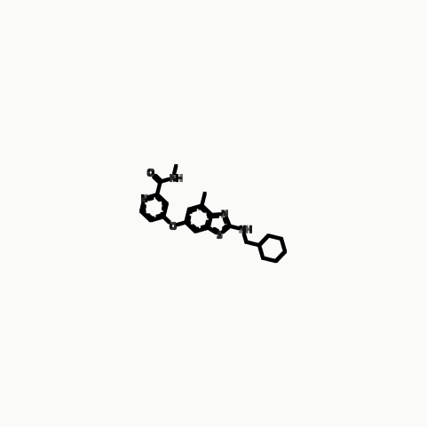 CNC(=O)c1cc(Oc2cc(C)c3nc(NCC4CCCCC4)sc3c2)ccn1